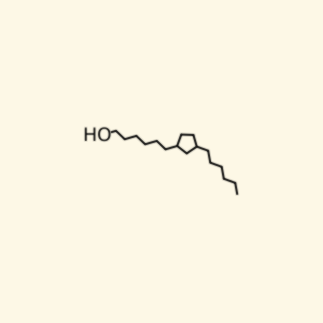 CCCCCCC1CCC(CCCCCCO)C1